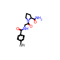 CCCc1ccc(C(=O)NCC(=O)N2CCCC2C(N)=O)cc1